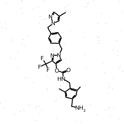 Cc1cnn(Cc2ccc(Cn3cc(OC(=O)NCc4c(C)cc(CN)cc4C)c(C(F)(F)F)n3)cc2)c1